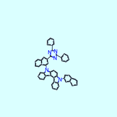 c1ccc(-c2nc(-c3ccccc3)nc(-c3cc(-n4c5ccccc5c5c6c7ccccc7n(-c7ccc8ccccc8c7)c6ccc54)c4ccccc4c3)n2)cc1